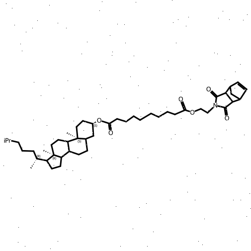 CC(C)CCC[C@@H](C)C1CCC2C3CCC4C[C@@H](OC(=O)CCCCCCCCC(=O)OCCN5C(=O)C6C7C=CC(C7)C6C5=O)CC[C@]4(C)C3CC[C@@]21C